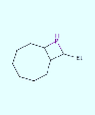 CCC1PC2CCCCCCC12